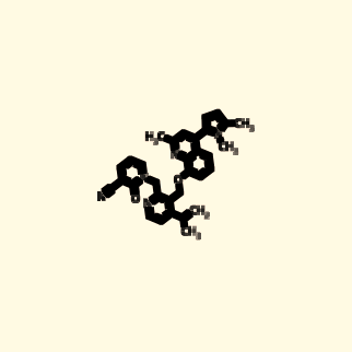 C=C(C)c1ccnc(Cn2cccc(C#N)c2=O)c1COc1cccc2c(-c3ccc(C)n3C)cc(C)nc12